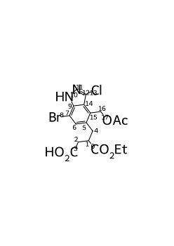 CCOC(=O)C(CC(=O)O)Cc1cc(Br)c2[nH]nc(Cl)c2c1COC(C)=O